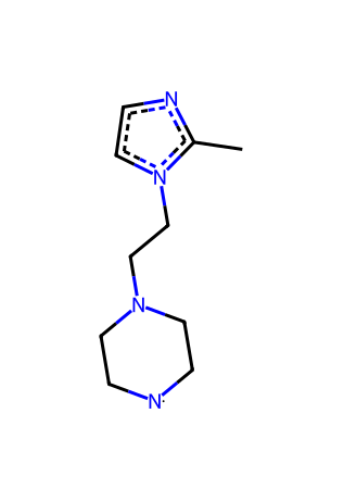 Cc1nccn1CCN1CC[N]CC1